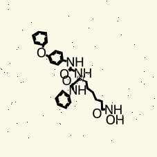 O=C(CCCCC[C@H](NC(=O)Nc1ccc(Oc2ccccc2)cc1)C(=O)Nc1ccccc1)NO